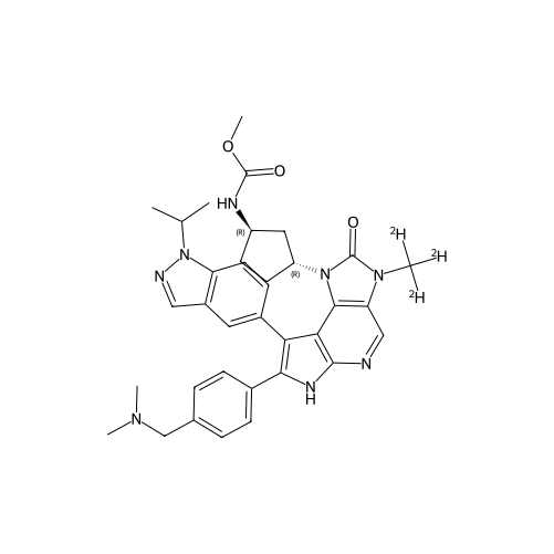 [2H]C([2H])([2H])n1c(=O)n([C@@H]2CC[C@@H](NC(=O)OC)C2)c2c3c(-c4ccc5c(cnn5C(C)C)c4)c(-c4ccc(CN(C)C)cc4)[nH]c3ncc21